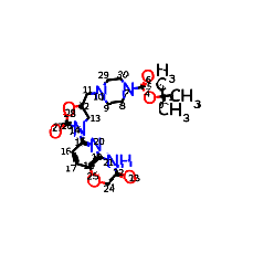 CC(C)(C)OC(=O)N1CCN(CC2CN(c3ccc4c(n3)NC(=O)CO4)C(=O)O2)CC1